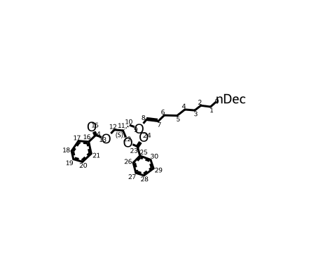 CCCCCCCCCCCCCCCCC=COC[C@@H](COC(=O)c1ccccc1)OC(=O)c1ccccc1